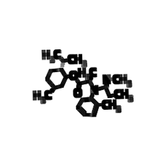 CC/C(=N\C)N(c1ccccc1C)[C@H](C)C(=O)O[C@H]1C[C@@H](C)CC[C@@H]1C(C)C